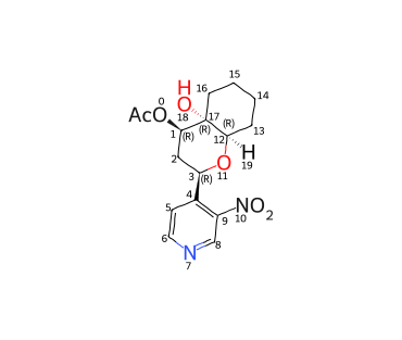 CC(=O)O[C@@H]1C[C@H](c2ccncc2[N+](=O)[O-])O[C@@H]2CCCC[C@]12O